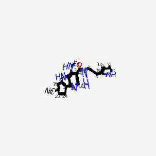 CCNc1c(C(=O)NCCC2CCCN2)cnc2c1[nH]c1cc(C#N)ccc12